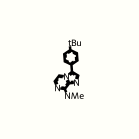 CNc1nccn2c(-c3ccc(C(C)(C)C)cc3)cnc12